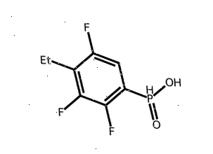 CCc1c(F)cc([PH](=O)O)c(F)c1F